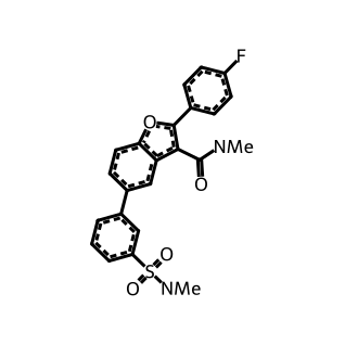 CNC(=O)c1c(-c2ccc(F)cc2)oc2ccc(-c3cccc(S(=O)(=O)NC)c3)cc12